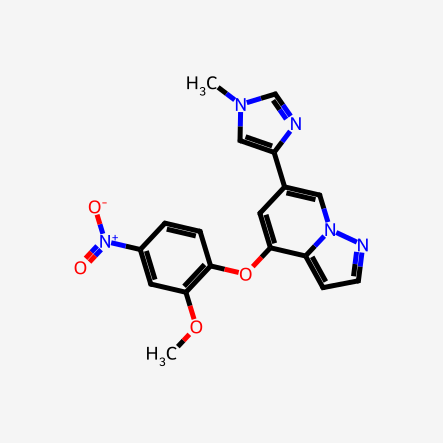 COc1cc([N+](=O)[O-])ccc1Oc1cc(-c2cn(C)cn2)cn2nccc12